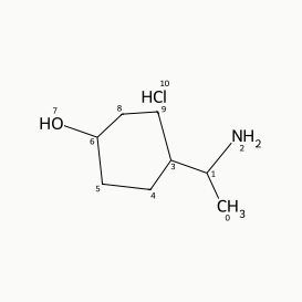 CC(N)C1CCC(O)CC1.Cl